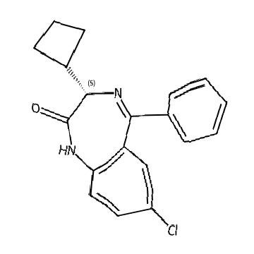 O=C1Nc2ccc(Cl)cc2C(c2ccccc2)=N[C@H]1C1CCC1